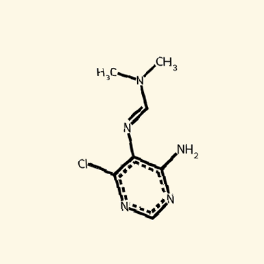 CN(C)/C=N/c1c(N)ncnc1Cl